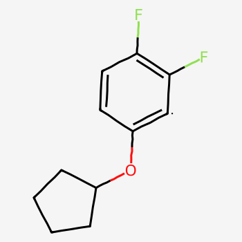 Fc1[c]c(OC2CCCC2)ccc1F